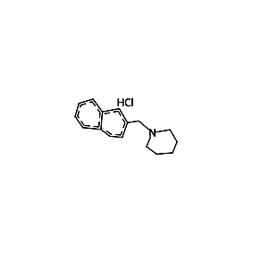 Cl.c1ccc2cc(CN3CCCCC3)ccc2c1